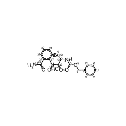 CC[C@H](C)[C@H](NC(=O)OCc1ccccc1)C(=O)N(C=O)c1ccccc1C(N)=O